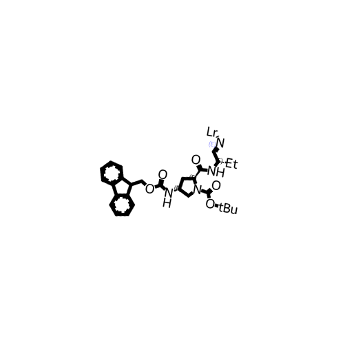 CC[C@@H](/C=[N]/[Lr])NC(=O)[C@@H]1C[C@@H](NC(=O)OCC2c3ccccc3-c3ccccc32)CN1C(=O)OC(C)(C)C